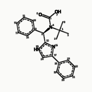 CC(C)(C)N(C(=O)O)[C@H](c1ccccc1)c1nc(-c2ccccc2)c[nH]1